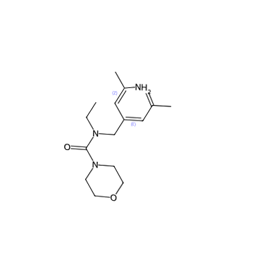 C=C(C)/C=C(\C=C(\C)N)CN(CC)C(=O)N1CCOCC1